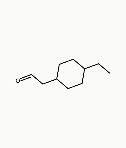 CCC1CCC(CC=O)CC1